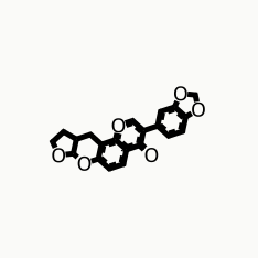 O=c1c(-c2ccc3c(c2)OCO3)coc2c3c(ccc12)OC1OCCC1C3